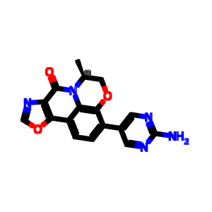 C[C@H]1COc2c(-c3cnc(N)nc3)ccc3c4ocnc4c(=O)n1c23